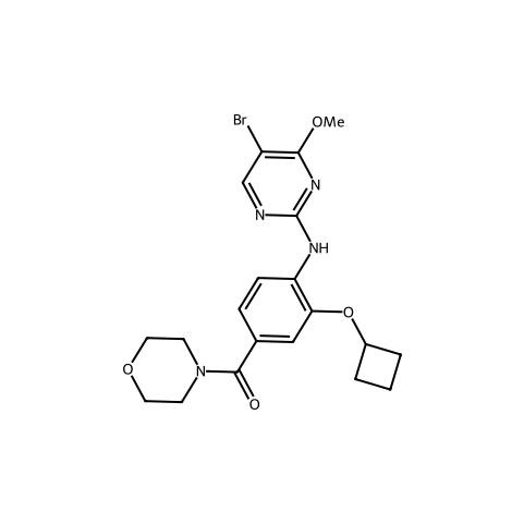 COc1nc(Nc2ccc(C(=O)N3CCOCC3)cc2OC2CCC2)ncc1Br